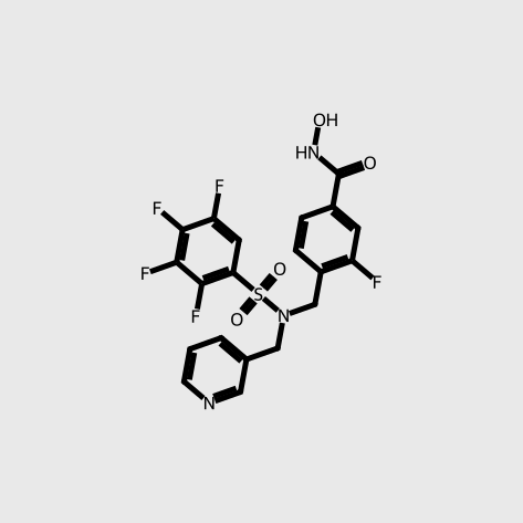 O=C(NO)c1ccc(CN(Cc2cccnc2)S(=O)(=O)c2cc(F)c(F)c(F)c2F)c(F)c1